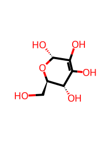 OC[C@H]1O[C@H](O)C(O)=C(O)[C@@H]1O